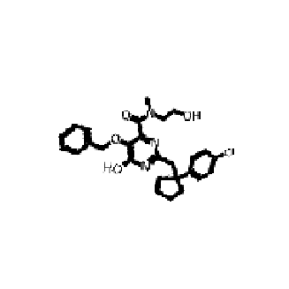 CN(CCO)C(=O)c1nc(CC2(c3ccc(Cl)cc3)CCCC2)nc(O)c1OCc1ccccc1